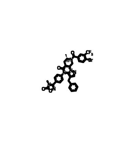 C[C@H]1Cc2c(n3ncc(Cc4ccccc4)c3n(-c3ccc(-c4noc(=O)n4C)cc3)c2=O)CN1C(=O)c1ccc(Br)c(C(F)(F)F)c1